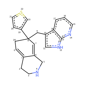 C1=C2CCNCC2=CC(Cc2c[nH]c3ncccc23)(c2ccsc2)C1